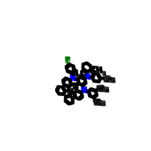 CC(C)(C)c1cc(N2c3cc(N4c5ccc(C(C)(C)C)cc5C5(C)CCCCC45C)cc4c3B3c5c(cccc5[Si](c5ccccc5)(c5ccccc5)c5cccc2c53)N4c2ccc(F)cc2)cc(C(C)(C)C)c1